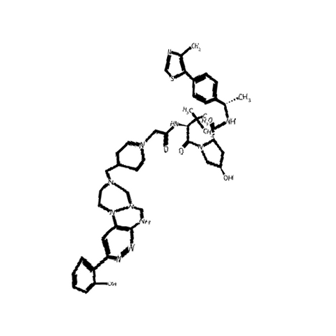 Cc1ncsc1-c1ccc([C@H](C)NC(=O)[C@@H]2C[C@@H](O)CN2C(=O)[C@@H](NC(=O)CN2CCC(CN3CCN4c5cc(-c6ccccc6O)nnc5NCN4C3)CC2)C(C)(C)C)cc1